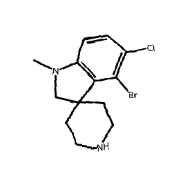 CN1CC2(CCNCC2)c2c1ccc(Cl)c2Br